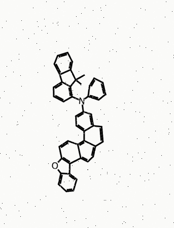 CC1(C)c2ccccc2-c2cccc(N(c3ccccc3)c3ccc4c(ccc5ccc6c(ccc7oc8ccccc8c76)c54)c3)c21